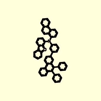 c1ccc(-c2c(-c3ccccc3)c3cc(-c4cccc(N(c5cccc6c5ccc5ccccc56)c5cccc6c5oc5ccccc56)c4)ccc3c3ccccc23)cc1